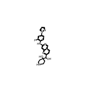 OC(c1ccc2cnc(Nc3ccc(-n4cccn4)cc3F)cc2n1)C1(O)CCNCC1